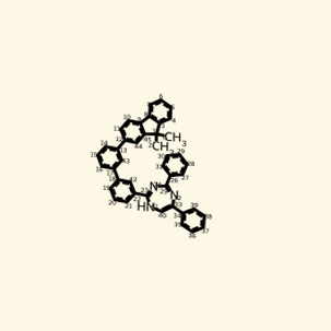 CC1(C)c2ccccc2-c2ccc(-c3cccc(-c4cccc(C5=NC(c6ccccc6)=NC(c6ccccc6)=CN5)c4)c3)cc21